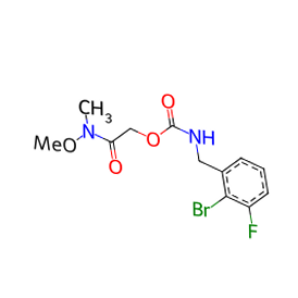 CON(C)C(=O)COC(=O)NCc1cccc(F)c1Br